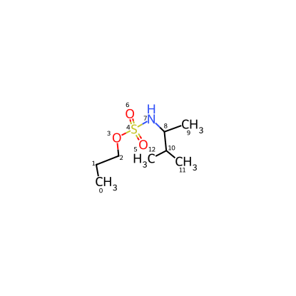 CCCOS(=O)(=O)NC(C)C(C)C